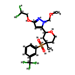 COCn1nc(OCC(F)F)cc1C1CC(C)(S(=O)(=O)c2cccc(C(F)(F)F)c2)CCO1